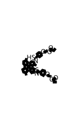 C=CC(=O)OCCOc1ccc(/C(S)=N/c2ccc(C3(c4ccc5nc(-c6ccc(OCCOC(=O)C=C)cc6)sc5c4)c4cc(C)ccc4-c4ccc(C)cc43)cc2C)cc1